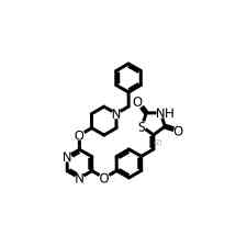 O=C1NC(=O)/C(=C/c2ccc(Oc3cc(OC4CCN(Cc5ccccc5)CC4)ncn3)cc2)S1